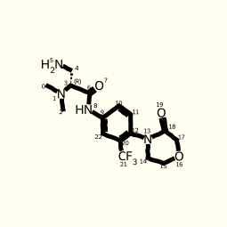 CN(C)[C@H](CN)C(=O)Nc1ccc(N2CCOCC2=O)c(C(F)(F)F)c1